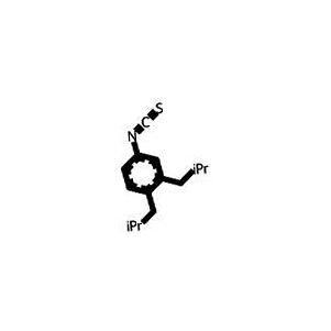 CC(C)Cc1ccc(N=C=S)cc1CC(C)C